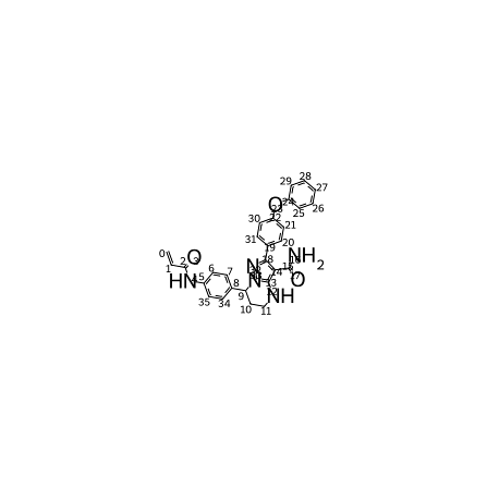 C=CC(=O)Nc1ccc(C2CCNc3c(C(N)=O)c(-c4ccc(Oc5ccccc5)cc4)nn32)cc1